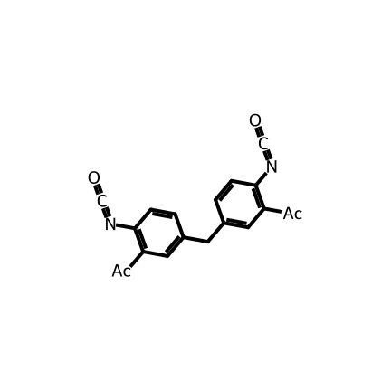 CC(=O)c1cc(Cc2ccc(N=C=O)c(C(C)=O)c2)ccc1N=C=O